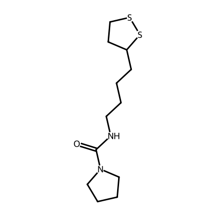 O=C(NCCCCC1CCSS1)N1CCCC1